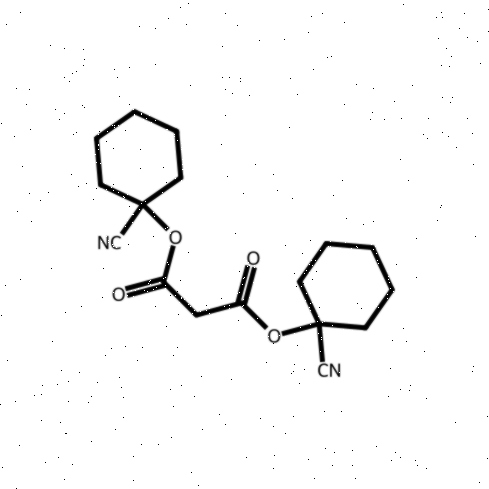 N#CC1(OC(=O)CC(=O)OC2(C#N)CCCCC2)CCCCC1